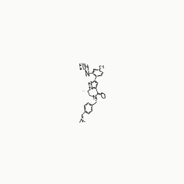 CCNc1cc(Cl)ccc1-c1cc2n(n1)[C@@H](C)CN(Cc1ccc(/C=N\C)cc1)C2=O